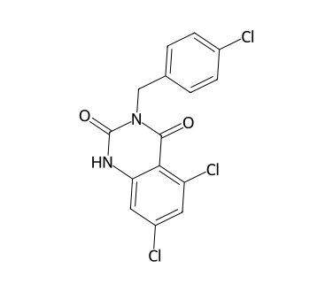 O=c1[nH]c2cc(Cl)cc(Cl)c2c(=O)n1Cc1ccc(Cl)cc1